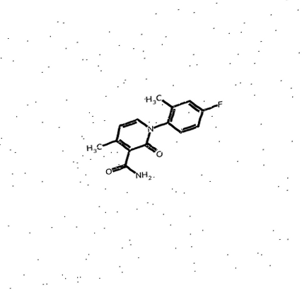 Cc1cc(F)ccc1-n1ccc(C)c(C(N)=O)c1=O